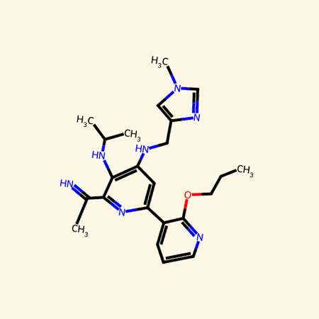 CCCOc1ncccc1-c1cc(NCc2cn(C)cn2)c(NC(C)C)c(C(C)=N)n1